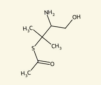 CC(=O)SC(C)(C)C(N)CO